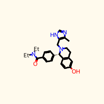 CCN(CC)C(=O)c1ccc([C@H]2c3ccc(O)cc3CCN2Cc2[nH]cnc2C)cc1